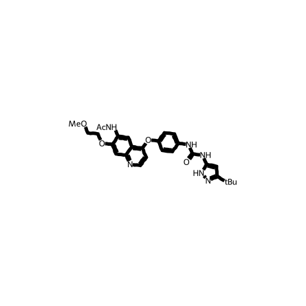 COCCOc1cc2nccc(Oc3ccc(NC(=O)Nc4cc(C(C)(C)C)n[nH]4)cc3)c2cc1NC(C)=O